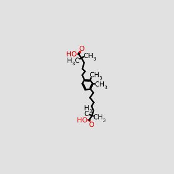 Cc1c(CCCCCC(C)(C)C(=O)O)ccc(CCCCC(C)(C)C(=O)O)c1C